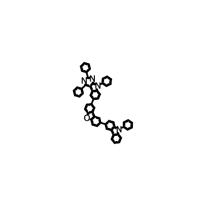 c1ccc(-c2nc(-c3ccccc3)c3c4cc(-c5ccc6oc7ccc(-c8ccc9c(c8)c8ccccc8n9-c8ccccc8)cc7c6c5)ccc4n(-c4ccccc4)c3n2)cc1